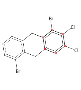 Clc1cc2c(cc1Cl)C1c3cccc(Br)c3C2c2cccc(Br)c21